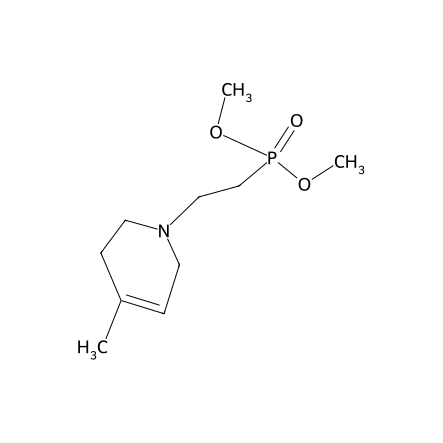 COP(=O)(CCN1CC=C(C)CC1)OC